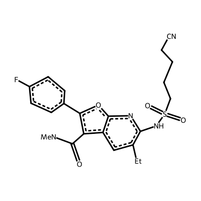 CCc1cc2c(C(=O)NC)c(-c3ccc(F)cc3)oc2nc1NS(=O)(=O)CCCCC#N